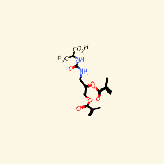 C=C(C)C(=O)OCC(CNC(=O)NC(C(=O)O)C(F)(F)F)OC(=O)C(=C)C